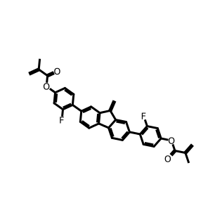 C=C(C)C(=O)Oc1ccc(-c2ccc3c(c2)C(=C)c2cc(-c4ccc(OC(=O)C(=C)C)cc4F)ccc2-3)c(F)c1